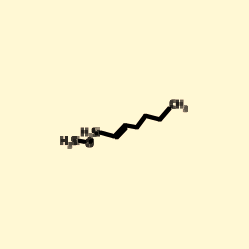 CCCCC=C[SiH2]O[SiH3]